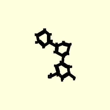 Cc1nc(Cl)cc(-c2cccc(-c3ccccc3)c2)n1